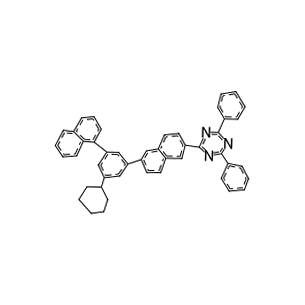 c1ccc(-c2nc(-c3ccccc3)nc(-c3ccc4cc(-c5cc(-c6cccc7ccccc67)cc(C6CCCCC6)c5)ccc4c3)n2)cc1